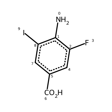 Nc1c(F)cc(C(=O)O)cc1I